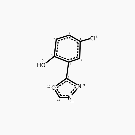 Oc1ccc(Cl)cc1-c1nnco1